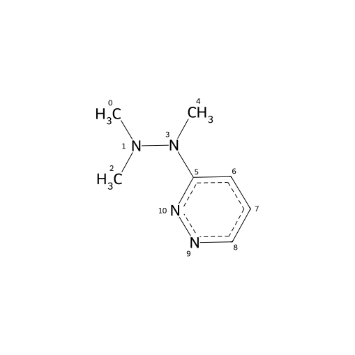 CN(C)N(C)c1cccnn1